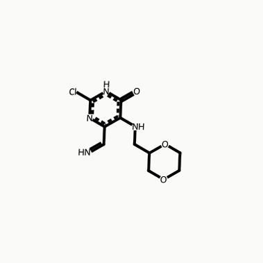 N=Cc1nc(Cl)[nH]c(=O)c1NCC1COCCO1